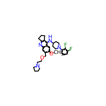 COc1cc2c(NC3CCN(c4cccc(F)c4F)CC3)c3c(nc2cc1COCCN1CCCC1)CCC3